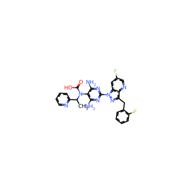 CC(c1ccccn1)N(C(=O)O)c1c(N)nc(-n2nc(Cc3ccccc3F)c3ncc(F)cc32)nc1N